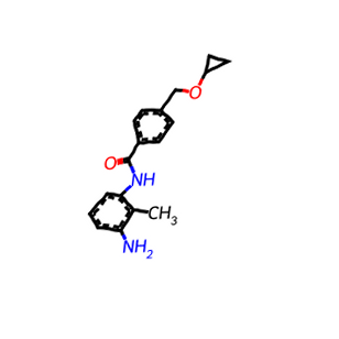 Cc1c(N)cccc1NC(=O)c1ccc(COC2CC2)cc1